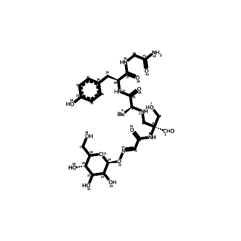 CCC(C)[C@H](NC[C@@](C=O)(CO)NC(=O)/C=N/O[C@@H]1OC(CO)[C@@H](O)C(O)C1O)C(=O)N[C@@H](Cc1ccc(O)cc1)C(=O)NCC(N)=O